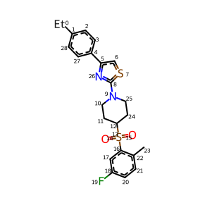 CCc1ccc(-c2csc(N3CCC(S(=O)(=O)c4cc(F)ccc4C)CC3)n2)cc1